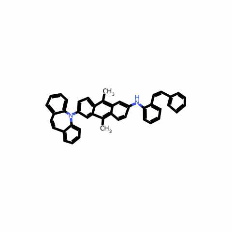 Cc1c2ccc(N3c4ccccc4C=Cc4ccccc43)cc2c(C)c2ccc(Nc3ccccc3/C=C\c3ccccc3)cc12